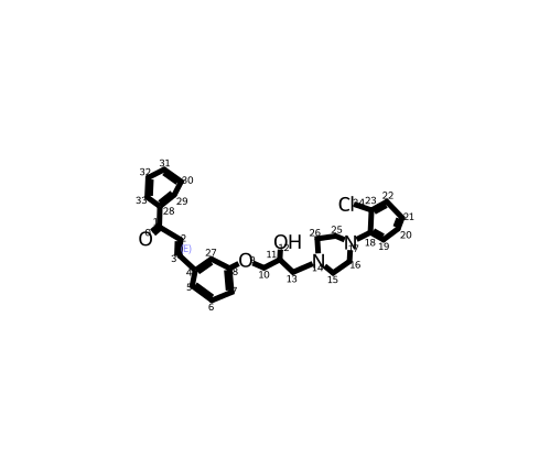 O=C(/C=C/c1cccc(OCC(O)CN2CCN(c3ccccc3Cl)CC2)c1)c1ccccc1